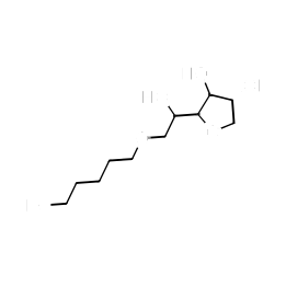 CCCCCCOCC(O)C1OC[C@@H](O)C1O